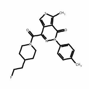 Cc1ccc(-n2nc(C(=O)N3CCC(CCF)CC3)c3csc(C)c3c2=O)cc1